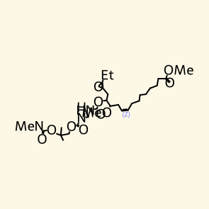 CCC1OC1CC(OC(=O)NCNC(=O)OCC(C)(C)COC(=O)NC)C(C/C=C\CCCCCCCC(=O)OC)OC